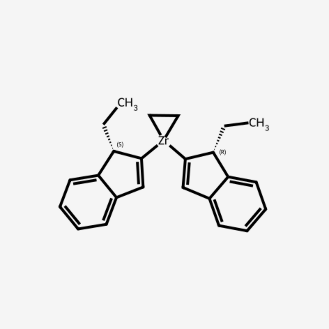 CC[C@@H]1[C]([Zr]2([C]3=Cc4ccccc4[C@H]3CC)[CH2][CH2]2)=Cc2ccccc21